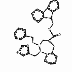 O=C(OCC1c2ccccc2-c2ccccc21)C1Cc2ccccc2N(Cc2c[nH]cn2)N(CCc2ccccc2)C1